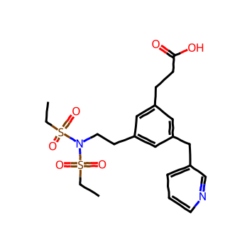 CCS(=O)(=O)N(CCc1cc(CCC(=O)O)cc(Cc2cccnc2)c1)S(=O)(=O)CC